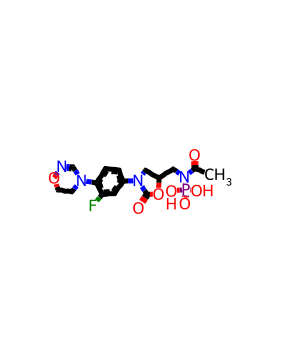 CC(=O)N(CC1CN(c2ccc(N3C=NOCC3)c(F)c2)C(=O)O1)P(=O)(O)O